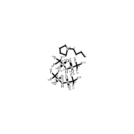 CCCCN1CCCC1.O=S(=O)(NS(=O)(=O)C(F)(F)F)C(F)(F)F.O=S(=O)(NS(=O)(=O)C(F)(F)F)C(F)(F)F